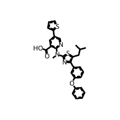 CC(C)Cc1sc(N(C)c2ncc(-c3cccs3)cc2C(=O)O)nc1-c1cccc(Oc2ccccc2)c1